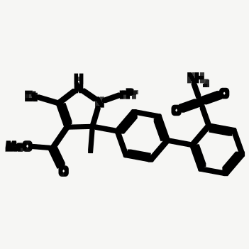 CCCN1NC(CC)=C(C(=O)OC)C1(C)c1ccc(-c2ccccc2S(N)(=O)=O)cc1